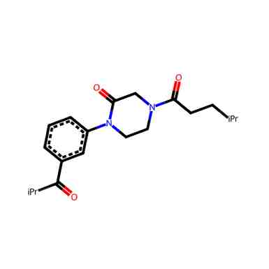 CC(C)CCC(=O)N1CCN(c2cccc(C(=O)C(C)C)c2)C(=O)C1